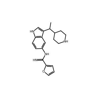 CC(c1c[nH]c2ccc(NC(=N)c3ccco3)cc12)C1CCNCC1